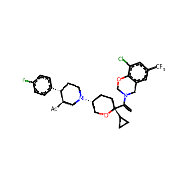 C=C(N1COc2c(Cl)cc(C(F)(F)F)cc2C1)[C@@]1(C2CC2)CC[C@@H](N2CC[C@@H](c3ccc(F)cc3)[C@H](C(C)=O)C2)CO1